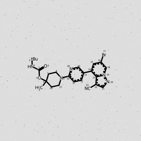 CC(C)(C)NC(=O)OC1(C)CCN(c2ccc(-c3cc(Br)cn4ncc(C#N)c34)cn2)CC1